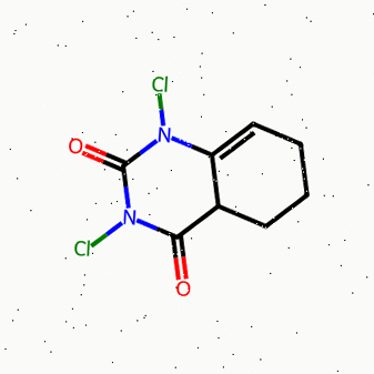 O=C1C2CCCC=C2N(Cl)C(=O)N1Cl